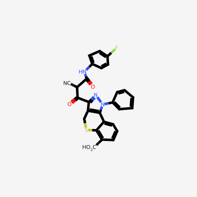 N#CC(C(=O)Nc1ccc(F)cc1)C(=O)c1nn(-c2ccccc2)c2c1CSc1c(C(=O)O)cccc1-2